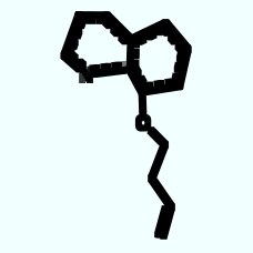 C=CCCOc1cccc2cccnc12